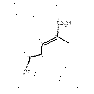 CC(=O)CCC=C(C)C(=O)O